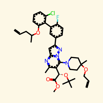 C=CCOC1(C)CCN(c2c([C@H](OC(C)(C)C)C(=O)OC)c(C)nc3cc(-c4ccc(F)c(-c5c(Cl)cccc5OC(C)CC=C)c4)nn23)CC1